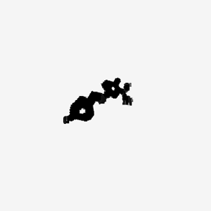 CCC[S+]([O-])c1cc(OCc2ccc(Cl)cc2)ccc1C